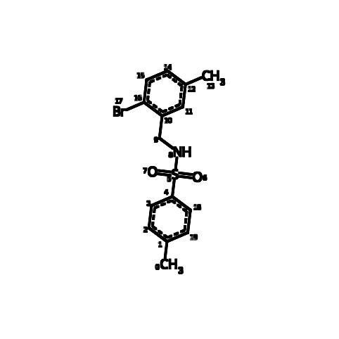 Cc1ccc(S(=O)(=O)NCc2cc(C)ccc2Br)cc1